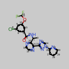 CC(NC(=O)c1cc(Cl)cc(OC(F)F)c1)c1nccnc1-c1ncn(-c2ccccn2)n1